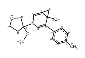 COC1(N2C=C3CC3(O)C(c3ccc(C)cc3)=C2)CCOC1